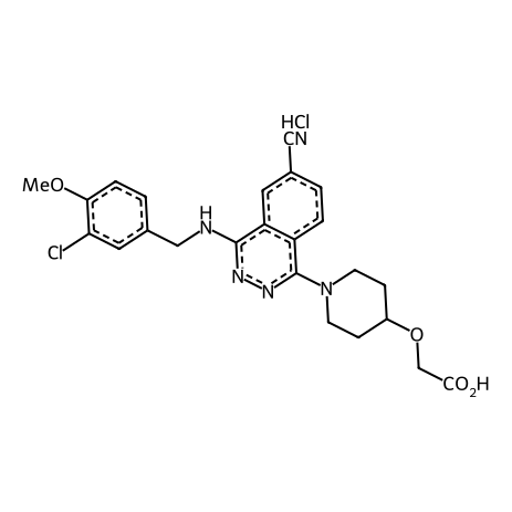 COc1ccc(CNc2nnc(N3CCC(OCC(=O)O)CC3)c3ccc(C#N)cc23)cc1Cl.Cl